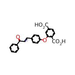 O=C(O)c1ccc(C(=O)O)c(Oc2ccc(/C=C/C(=O)c3ccccc3)cc2)c1